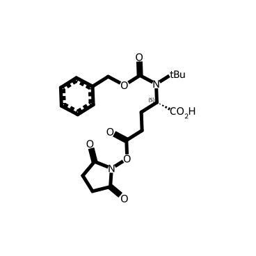 CC(C)(C)N(C(=O)OCc1ccccc1)[C@@H](CCC(=O)ON1C(=O)CCC1=O)C(=O)O